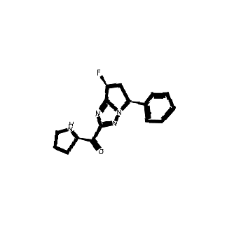 O=C(c1nc2n(n1)[C@H](c1ccccc1)C[C@@H]2F)[C@H]1CCCN1